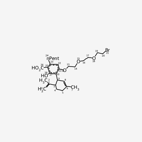 C=C(C)C1CCC(C)=CC1c1c(OCCOCCOCCBr)cc(CCCCC)c(C(=O)O)c1O